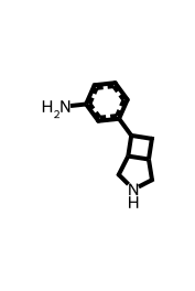 Nc1cccc(C2CC3CNCC32)c1